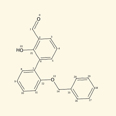 O=Cc1cccc(-c2ccccc2OCc2ccccc2)c1O